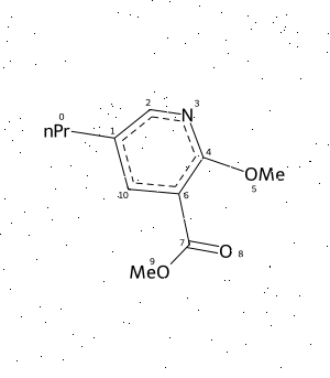 CCCc1cnc(OC)c(C(=O)OC)c1